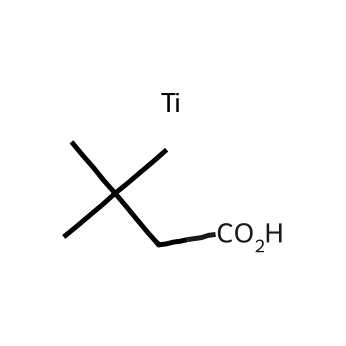 CC(C)(C)CC(=O)O.[Ti]